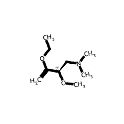 C=C(OCC)[C@@H](CN(C)C)OC